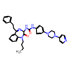 CCCCN1C(=O)C(NC(=O)Nc2ccc(N3CCN(c4ccncc4)CC3)cc2)N=C(CCc2ccccc2)c2ccccc21